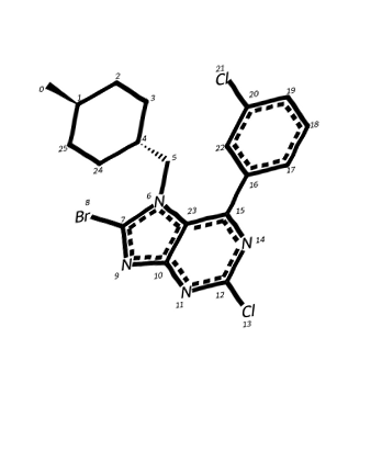 C[C@H]1CC[C@H](Cn2c(Br)nc3nc(Cl)nc(-c4cccc(Cl)c4)c32)CC1